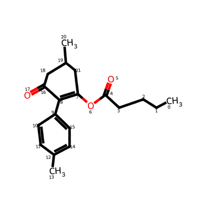 CCCCC(=O)OC1=C(c2ccc(C)cc2)C(=O)CC(C)C1